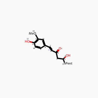 CCCCCC(O)CC(=O)/C=C/c1ccc(O)c(OC)c1